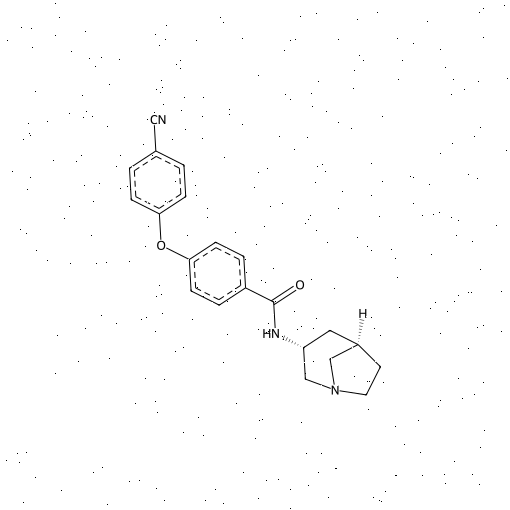 N#Cc1ccc(Oc2ccc(C(=O)N[C@@H]3C[C@H]4CCN(C4)C3)cc2)cc1